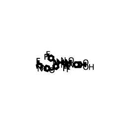 O=C(NC1CC2CC(C1)CC(C(=O)O)C2)c1cnc(-c2cn(C3CCC(F)(F)CC3)c3cc(OC4CCN(c5cc(F)ccn5)CC4)ccc23)nc1C(F)(F)F